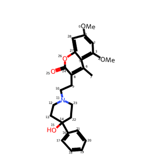 COc1cc(OC)c2c(C)c(CCN3CCC(O)(c4ccccc4)CC3)c(=O)oc2c1